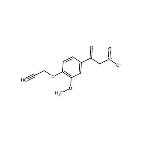 C#CCOc1ccc(C(=O)C[N+](=O)[O-])cc1OC